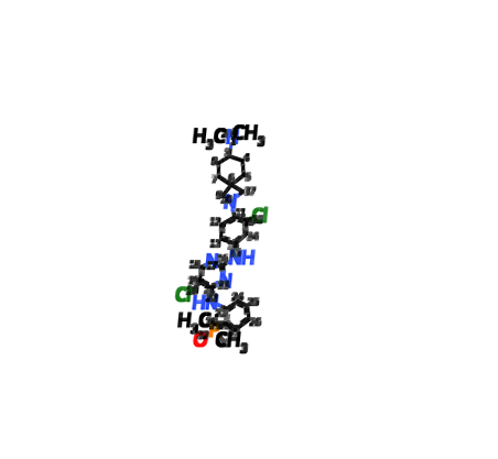 CN(C)C1CCC2(CC1)CN(c1ccc(Nc3ncc(Cl)c(Nc4ccccc4P(C)(C)=O)n3)cc1Cl)C2